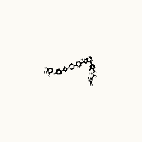 Cc1cc(-c2ncnc3[nH]c(-c4ccc(N5CCN([C@H]6C[C@@H](c7ccc(O[C@H]8CCC(=O)NC8=O)cc7)C6)CC5)nc4)cc23)ccc1[C@@H](C)NC(=O)c1nc(C(C)(C)C)no1